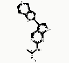 C[C@H](Nc1ncc2c(-c3cc4cnccc4s3)c[nH]c2n1)C(F)(F)F